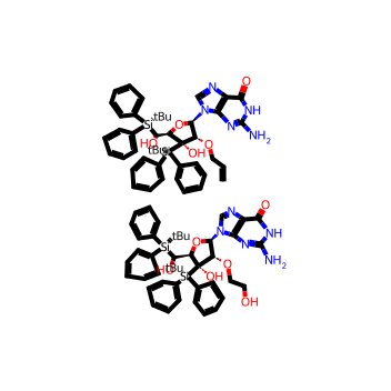 C=CCO[C@H]1[C@H](n2cnc3c(=O)[nH]c(N)nc32)O[C@H](C(O)[Si](c2ccccc2)(c2ccccc2)C(C)(C)C)[C@]1(O)[Si](c1ccccc1)(c1ccccc1)C(C)(C)C.CC(C)(C)[Si](c1ccccc1)(c1ccccc1)C(O)[C@H]1O[C@@H](n2cnc3c(=O)[nH]c(N)nc32)[C@H](OCCO)[C@@]1(O)[Si](c1ccccc1)(c1ccccc1)C(C)(C)C